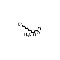 CCC(=O)CC(=O)C(C)CCCCCCBr